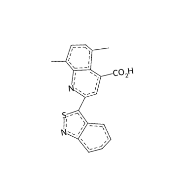 Cc1ccc(C)c2c(C(=O)O)cc(-c3snc4ccccc34)nc12